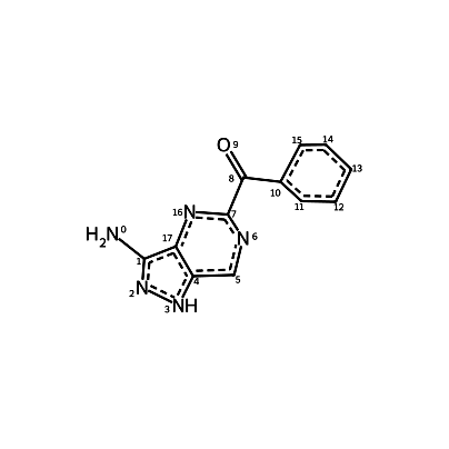 Nc1n[nH]c2cnc(C(=O)c3ccccc3)nc12